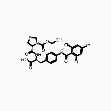 CCOC(=O)N1CSC[C@@H]1C(=O)N[C@@H](Cc1ccc(NC(=O)c2c(Cl)cc(Cl)cc2Cl)cc1)C(=O)O